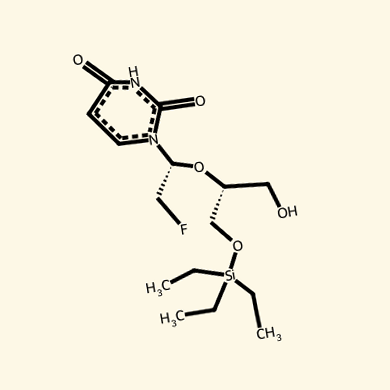 CC[Si](CC)(CC)OC[C@@H](CO)O[C@H](CF)n1ccc(=O)[nH]c1=O